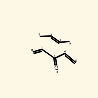 C=CC(=O)C=C.CC=CC